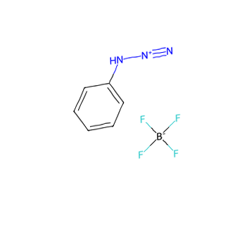 F[B-](F)(F)F.N#[N+]Nc1ccccc1